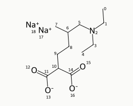 CCN(CC)CC(C)CCC(C(=O)[O-])C(=O)[O-].[Na+].[Na+]